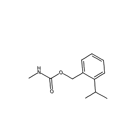 CNC(=O)OCc1ccccc1C(C)C